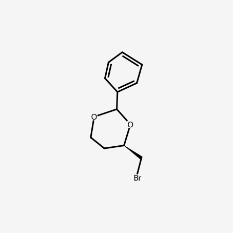 BrC[C@H]1CCOC(c2ccccc2)O1